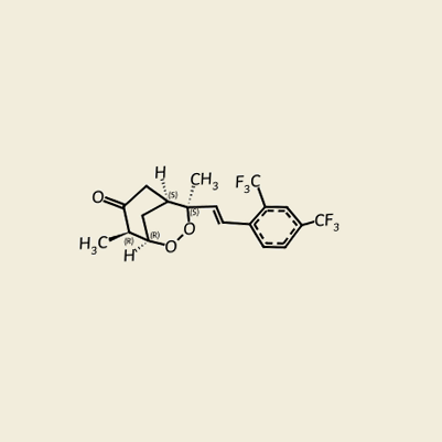 C[C@H]1C(=O)C[C@@H]2C[C@H]1OO[C@]2(C)C=Cc1ccc(C(F)(F)F)cc1C(F)(F)F